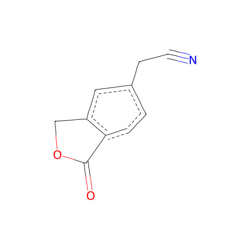 N#CCc1ccc2c(c1)COC2=O